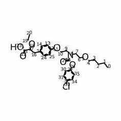 CCCCCOCCN(CCOc1ccc(CC(OCC)C(=O)O)cc1)C(=O)Oc1ccc(Cl)cc1